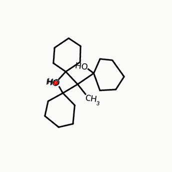 CC(C1(O)CCCCC1)(C1(O)CCCCC1)C1(O)CCCCC1